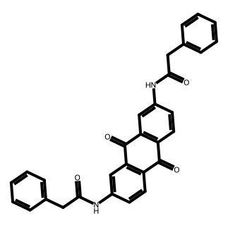 O=C(Cc1ccccc1)Nc1ccc2c(c1)C(=O)c1cc(NC(=O)Cc3ccccc3)ccc1C2=O